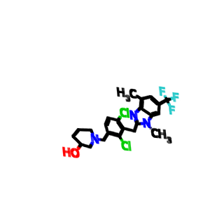 Cc1cc(C(F)(F)F)cc2c1nc(Cc1c(Cl)ccc(CN3CCCC(O)C3)c1Cl)n2C